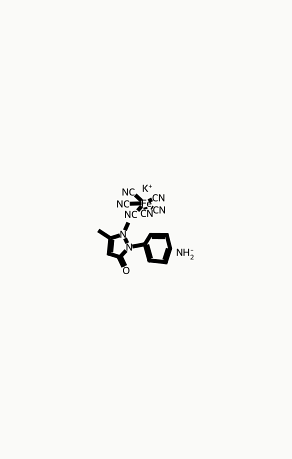 Cc1cc(=O)n(-c2ccccc2)n1C.N#[C][Fe]([C]#N)([C]#N)([C]#N)([C]#N)[C]#N.[K+].[NH2-]